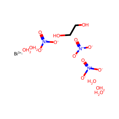 O.O.O.O.O.O=[N+]([O-])[O-].O=[N+]([O-])[O-].O=[N+]([O-])[O-].OCCO.[Bi+3]